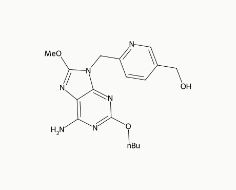 CCCCOc1nc(N)c2nc(OC)n(Cc3ccc(CO)cn3)c2n1